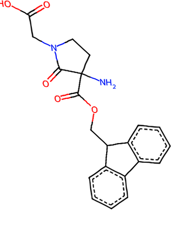 NC1(C(=O)OCC2c3ccccc3-c3ccccc32)CCN(CC(=O)O)C1=O